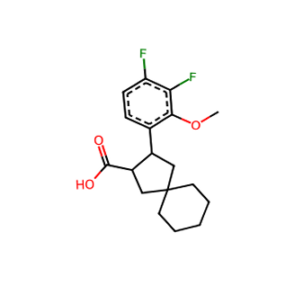 COc1c(C2CC3(CCCCC3)CC2C(=O)O)ccc(F)c1F